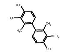 Cc1ccc(-c2ccc(O)c(C)c2C)c(C)c1C